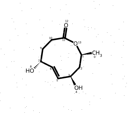 C[C@H]1C[C@@H](O)/C=C/[C@H](O)CCC(=O)O1